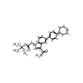 CC(C)(C)OC(=O)Cn1nc(C(N)=O)c2cc(-c3ccc(N4CCOCC4)cc3)ccc21